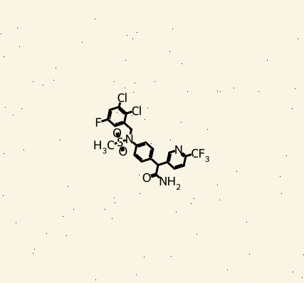 CS(=O)(=O)N(Cc1cc(F)cc(Cl)c1Cl)c1ccc(C(C(N)=O)c2ccc(C(F)(F)F)nc2)cc1